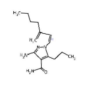 C=C(/C=C\n1nc(N)c(C(N)=O)c1CCC)CCCC